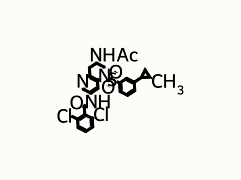 CC(=O)NC1Cc2ncc(NC(=O)c3c(Cl)cccc3Cl)cc2N(S(=O)(=O)c2cccc(C3C[C@@H]3C)c2)C1